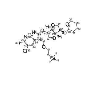 C[Si](C)(C)CCOCn1c(O[C@@H]2CO[C@H]3[C@@H]2OC[C@H]3OC2CCCCO2)nc2nc(I)c(Cl)cc21